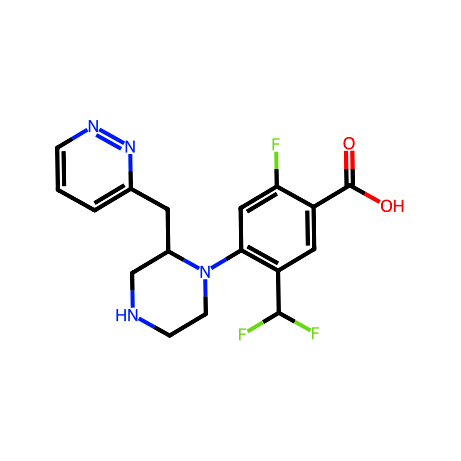 O=C(O)c1cc(C(F)F)c(N2CCNCC2Cc2cccnn2)cc1F